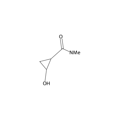 CNC(=O)C1CC1O